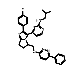 CC(C)CNc1nccc(-c2c(-c3ccc(F)cc3)nc3n2C(COc2ccc(-c4ccccc4)nn2)CC3)n1